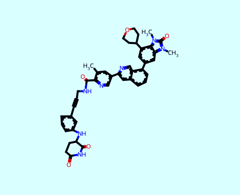 Cc1cc(-c2cc3cccc(-c4cc(C5CCOCC5)c5c(c4)n(C)c(=O)n5C)c3cn2)cnc1C(=O)NCC#Cc1cccc(NC2CCC(=O)NC2=O)c1